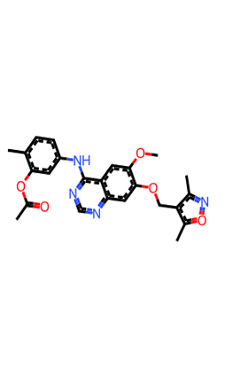 COc1cc2c(Nc3ccc(C)c(OC(C)=O)c3)ncnc2cc1OCc1c(C)noc1C